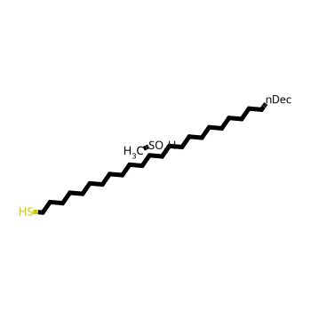 CCCCCCCCCCCCCCCCCCCCCCCCCCCCCCCCCS.CS(=O)(=O)O